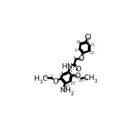 CCOc1cc(NC(=O)COc2ccc(Cl)cc2)c(OCC)cc1N